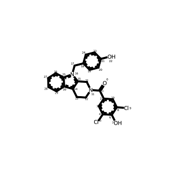 O=C(c1cc(Cl)c(O)c(Cl)c1)N1CCc2c(n(Cc3ccc(O)cc3)c3ccccc23)C1